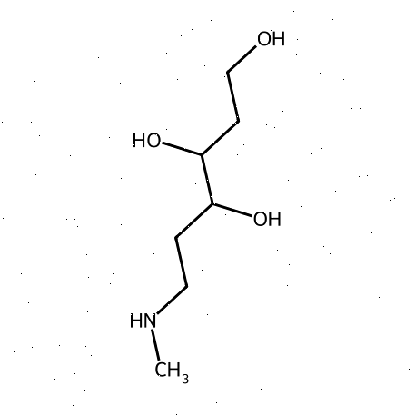 CNCCC(O)C(O)CCO